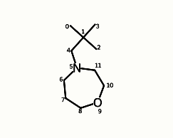 CC(C)(C)CN1CCCOCC1